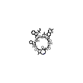 C=CC(C)(C)n1cc(C[C@@H]2NC(=O)[C@H](CC3CCCC3)NC(=O)[C@H](CC(C)C)N3CC/C=C\C[C@@H](C3=O)N(C)C(=O)[C@H](C)NC(=O)[C@H](Cc3ccc4cnc(C)nc4c3)NC(=O)[C@H](CC(C)C)N(C)C2=O)c2ccccc21